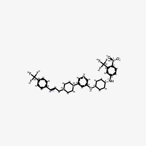 O=[N+]([O-])c1ccc(N[C@H]2CC[C@H](Oc3cncc(N4CCN(C/C=C/c5ccc(C(F)(F)F)cc5)CC4)c3)CC2)cc1C(F)(F)F